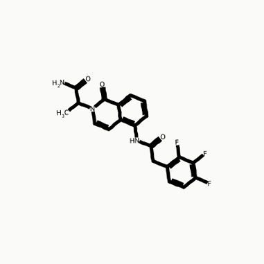 CC(C(N)=O)n1ccc2c(NC(=O)Cc3ccc(F)c(F)c3F)cccc2c1=O